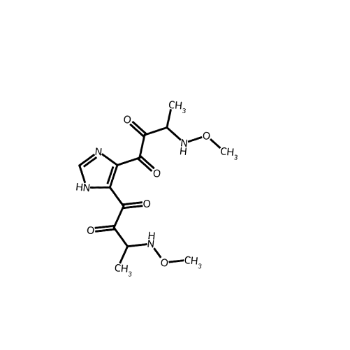 CONC(C)C(=O)C(=O)c1nc[nH]c1C(=O)C(=O)C(C)NOC